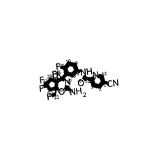 N#Cc1ccc(C(=O)Nc2ccc(F)c([C@@]3(CF)N=C(N)O[C@]4(CF)CC(F)(F)C[C@@H]43)c2)nc1